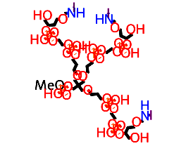 COP(=O)(O)OCC(COCCCOP(=O)(O)OCCOP(=O)(O)OC(CO)CCOCNI)(COCCCOP(=O)(O)OCCOP(=O)(O)OC(CO)CCOCNI)COCCCOP(=O)(O)OCCOP(=O)(O)OC(CO)CCOCNI